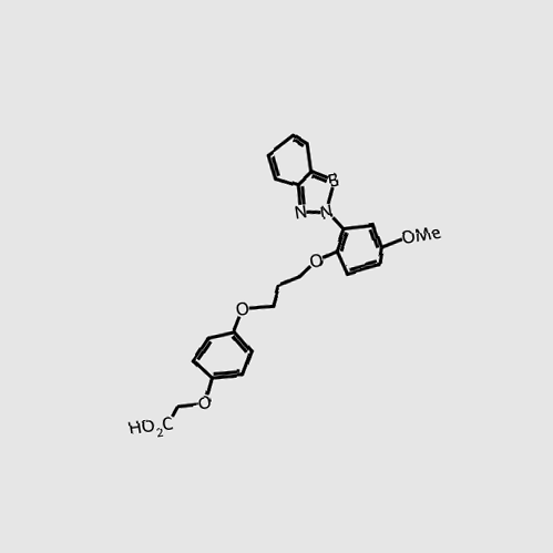 COc1ccc(OCCCOc2ccc(OCC(=O)O)cc2)c(-n2bc3ccccc3n2)c1